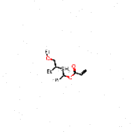 C=CC(=O)OC(CCC)[SiH2]C(CC)COCC